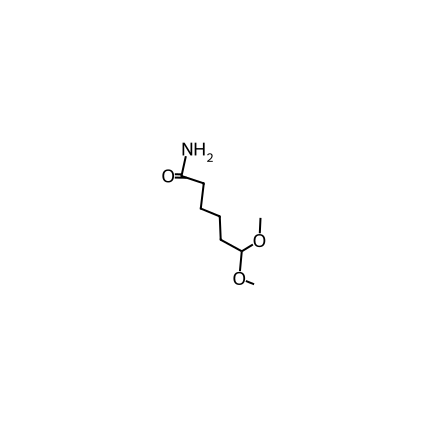 COC(CCCCC(N)=O)OC